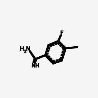 Cc1ccc(C(=N)N)cc1F